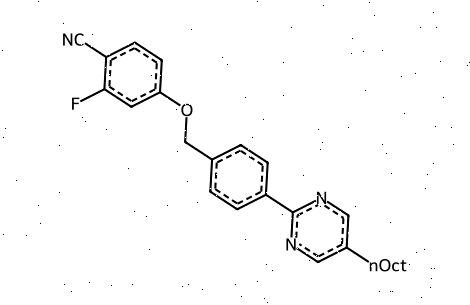 CCCCCCCCc1cnc(-c2ccc(COc3ccc(C#N)c(F)c3)cc2)nc1